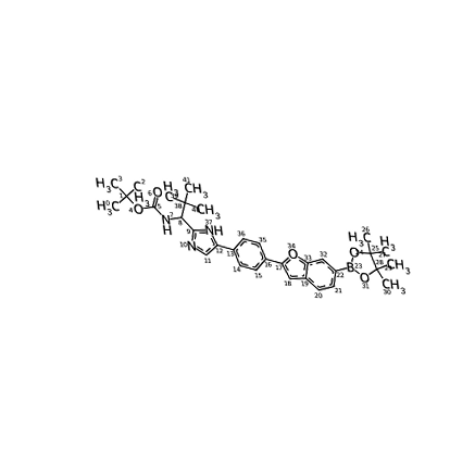 CC(C)(C)OC(=O)NC(c1ncc(-c2ccc(-c3cc4ccc(B5OC(C)(C)C(C)(C)O5)cc4o3)cc2)[nH]1)C(C)(C)C